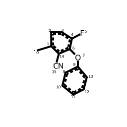 [CH2]c1ccc(F)c(Oc2ccccc2)c1C#N